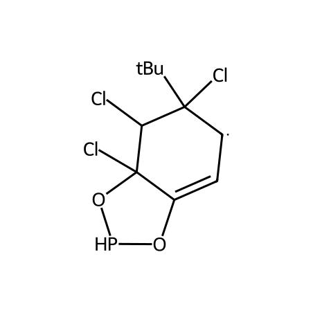 CC(C)(C)C1(Cl)[CH]C=C2OPOC2(Cl)C1Cl